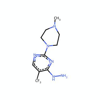 CN1CCN(c2ncc(C(F)(F)F)c(NN)n2)CC1